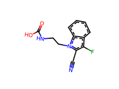 N#Cc1c(F)c2ccccc2n1CCNC(=O)O